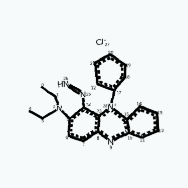 CCN(CC)c1ccc2nc3ccccc3[n+](-c3ccccc3)c2c1N=N.[Cl-]